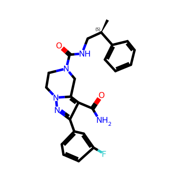 C[C@H](CNC(=O)N1CCn2nc(-c3cccc(F)c3)c(C(N)=O)c2C1)c1ccccc1